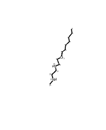 CCCCCCCOCCNCCNC